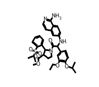 CCOc1cc(C(Nc2ccc3c(N)nccc3c2)C(=O)N2CCC(C(=O)OC)C2c2ccccc2S(=O)(=O)C(C)C)ccc1OC(C)C